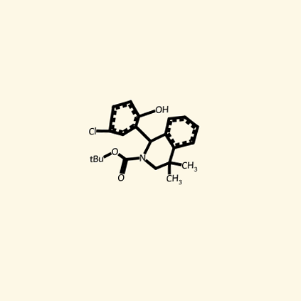 CC(C)(C)OC(=O)N1CC(C)(C)c2ccccc2C1c1cc(Cl)ccc1O